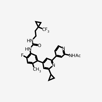 CC(=O)Nc1cc(-c2cc(-c3cc(NC(=O)NCCC4(C(F)(F)F)CC4)c(F)cc3C)cc(C3CC3)n2)ccn1